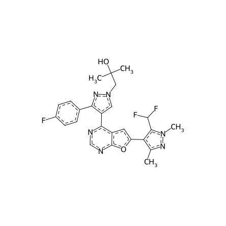 Cc1nn(C)c(C(F)F)c1-c1cc2c(-c3cn(CC(C)(C)O)nc3-c3ccc(F)cc3)ncnc2o1